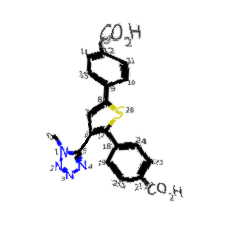 Cn1nnnc1-c1cc(-c2ccc(C(=O)O)cc2)sc1-c1ccc(C(=O)O)cc1